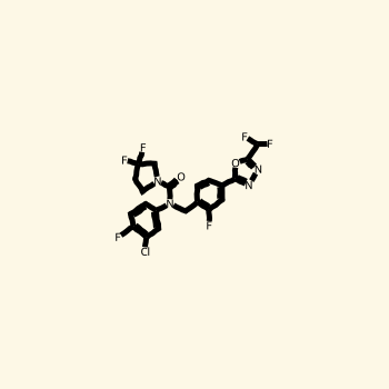 O=C(N1CCC(F)(F)C1)N(Cc1ccc(-c2nnc(C(F)F)o2)cc1F)c1ccc(F)c(Cl)c1